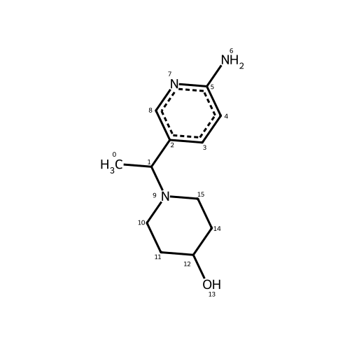 CC(c1ccc(N)nc1)N1CCC(O)CC1